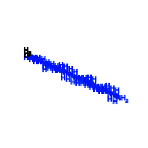 CCNNNNNNNNNNNNNNNNNNNNNNNNNNNNNNNNNNNNNNN